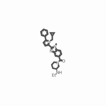 CCN[C@H]1CCCN(C(=O)c2ccc3c(c2)nc(-c2ccc(-c4ccccc4)n2CC2CC2)n3C)C1